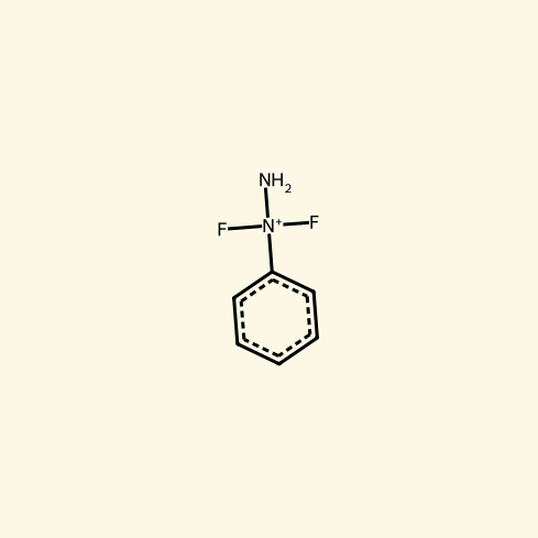 N[N+](F)(F)c1ccccc1